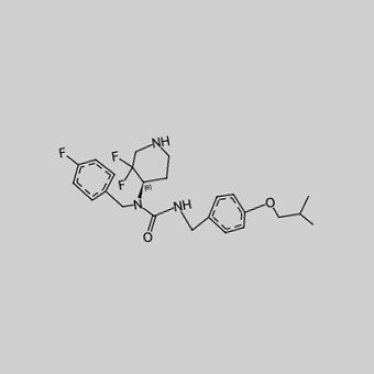 CC(C)COc1ccc(CNC(=O)N(Cc2ccc(F)cc2)[C@@H]2CCNCC2(F)F)cc1